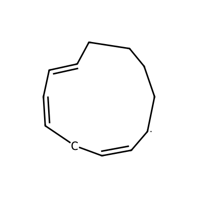 [CH]1/C=C\C/C=C\C=C\CCCC1